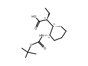 CC[C@H](C(=O)O)[C@@H]1CCCC[C@@H]1NC(=O)OC(C)(C)C